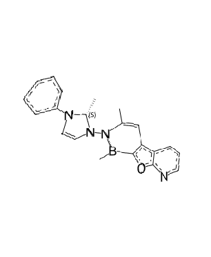 CB1c2oc3ncccc3c2C=C(C)N1N1C=CN(c2ccccc2)[C@@H]1C